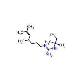 CC(C)=CC(C)CCCN=C(N)NC(C)(C)CC(C)C